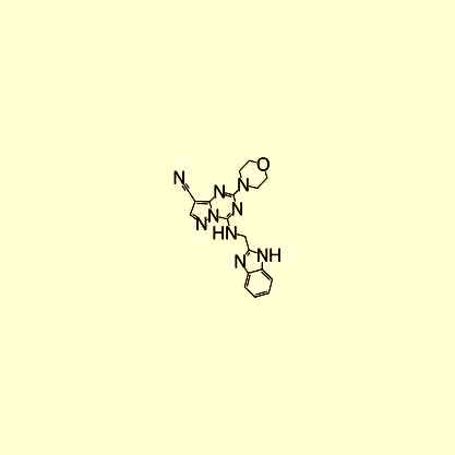 N#Cc1cnn2c(NCc3nc4ccccc4[nH]3)nc(N3CCOCC3)nc12